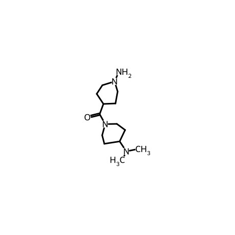 CN(C)C1CCN(C(=O)C2CCN(N)CC2)CC1